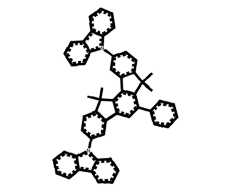 CC1(C)c2ccc(-n3c4ccccc4c4ccccc43)cc2-c2c1c(-c1ccccc1)cc1c2C(C)(C)c2ccc(-n3c4ccccc4c4ccccc43)cc2-1